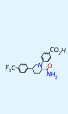 NC(=O)[C@@H]1CCC(c2ccc(C(F)(F)F)cc2)CN1c1ccc(C(=O)O)cc1